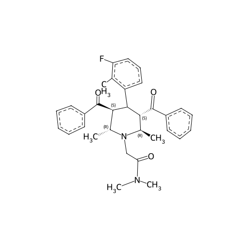 Cc1c(F)cccc1C1[C@H](C(=O)c2ccccc2)[C@@H](C)N(CC(=O)N(C)C)[C@H](C)[C@H]1C(=O)c1ccccc1